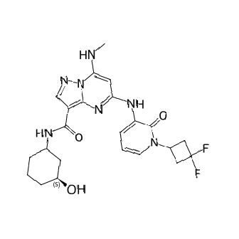 CNc1cc(Nc2cccn(C3CC(F)(F)C3)c2=O)nc2c(C(=O)NC3CCC[C@H](O)C3)cnn12